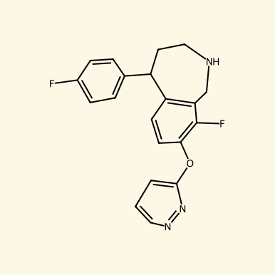 Fc1ccc(C2CCNCc3c2ccc(Oc2cccnn2)c3F)cc1